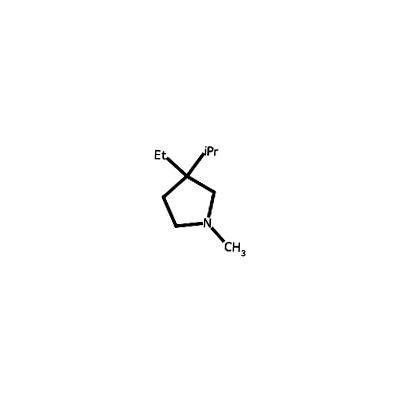 CCC1(C(C)C)CCN(C)C1